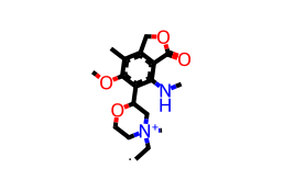 [CH2]C[N+]1(C)CCOC(c2c(NC)c3c(c(C)c2OC)COC3=O)C1